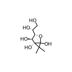 CC1(C)C2(O)O[C@@H]([C@H](O)CO)[C@H](O)[C@]12O